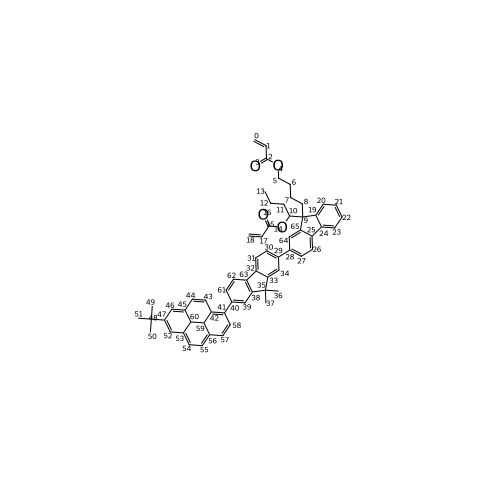 C=CC(=O)OCCCCC1(C(CCC)OC(=O)C=C)c2ccccc2-c2ccc(-c3ccc4c(c3)C(C)(C)c3cc(C5=C6C=CC7=CC(C(C)(C)C)=CC8=CC=C(C=C5)C6C87)ccc3-4)cc21